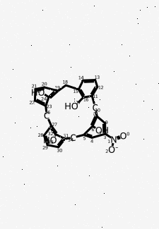 O=[N+]([O-])c1cc2c(O)c(c1)Cc1cccc(c1O)Cc1cccc(c1O)Cc1cccc(c1O)C2